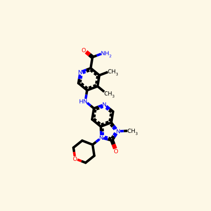 Cc1c(Nc2cc3c(cn2)n(C)c(=O)n3C2CCOCC2)cnc(C(N)=O)c1C